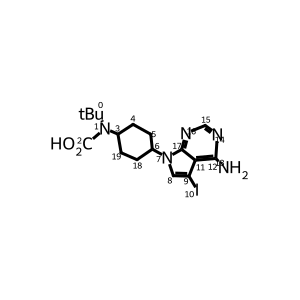 CC(C)(C)N(C(=O)O)C1CCC(n2cc(I)c3c(N)ncnc32)CC1